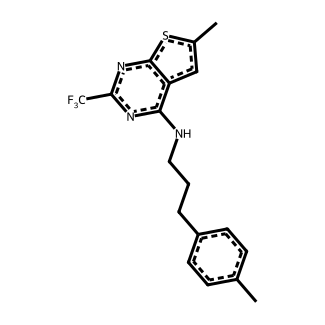 Cc1ccc(CCCNc2nc(C(F)(F)F)nc3sc(C)cc23)cc1